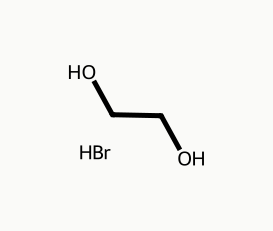 Br.OCCO